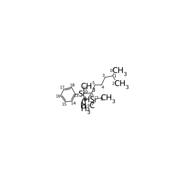 CC(C)CCCC([SiH](C)C)[Si](C)(C)c1ccccc1